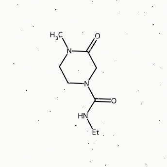 CCNC(=O)N1CCN(C)C(=O)C1